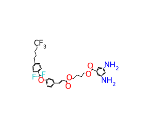 Nc1cc(N)cc(C(=O)OCCCCOC(=O)C=Cc2ccc(OC(F)(F)c3ccc(CCCCC(F)(F)F)cc3)cc2)c1